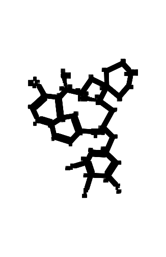 COc1ccc2ncc(C)c([C@H](O)CCC3([C@@H](O)CCCc4cc(F)c(F)c(F)c4)CCNCC3)c2c1